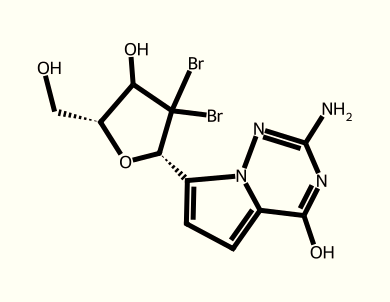 Nc1nc(O)c2ccc([C@@H]3O[C@H](CO)C(O)C3(Br)Br)n2n1